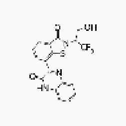 O=c1[nH]c2ccccc2nc1-c1cccc2c(=O)n(C(CO)C(F)(F)F)sc12